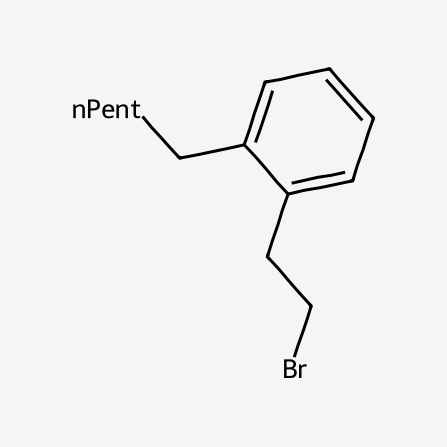 CCCCCCc1ccccc1CCBr